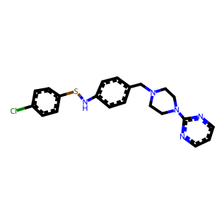 Clc1ccc(SNc2ccc(CN3CCN(c4ncccn4)CC3)cc2)cc1